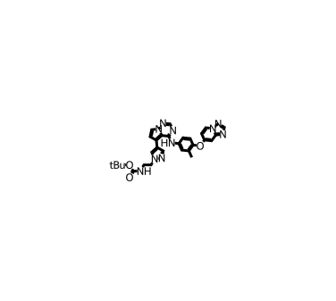 Cc1cc(Nc2ncnn3ccc(-c4cnn(CCNC(=O)OC(C)(C)C)c4)c23)ccc1Oc1ccn2ncnc2c1